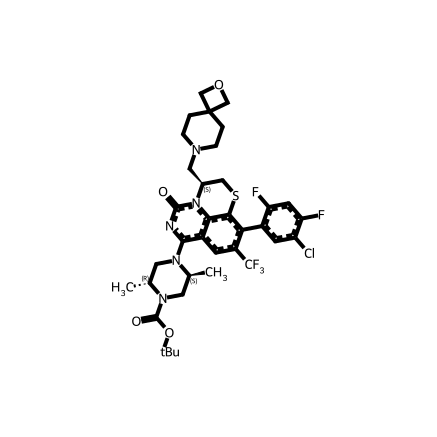 C[C@@H]1CN(c2nc(=O)n3c4c(c(-c5cc(Cl)c(F)cc5F)c(C(F)(F)F)cc24)SC[C@@H]3CN2CCC3(CC2)COC3)[C@@H](C)CN1C(=O)OC(C)(C)C